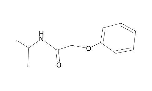 CC(C)NC(=O)COc1ccccc1